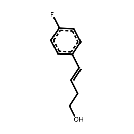 OCCC=Cc1ccc(F)cc1